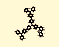 c1ccc(C(c2ccccc2)c2ccc(-c3ccc(C(c4ccc(-c5ccc(C(c6ccccc6)c6ccccc6)cc5)cc4)c4ccc(-c5cccc6c5oc5ccccc56)cc4)cc3)cc2)cc1